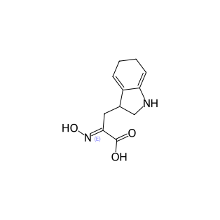 O=C(O)/C(CC1CNC2=CCCC=C21)=N/O